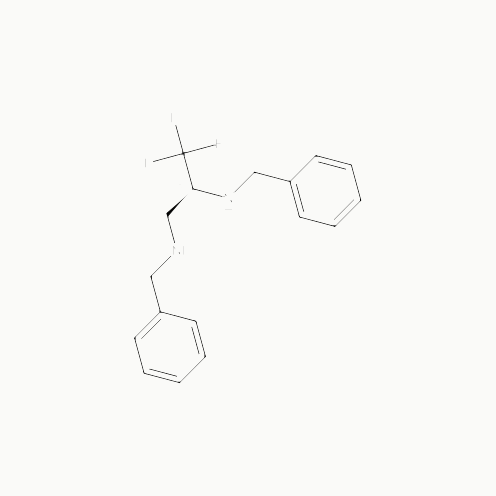 FC(F)(F)[C@H](CNCc1ccccc1)NCc1ccccc1